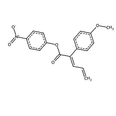 C=C/C=C(/C(=O)Oc1ccc([N+](=O)[O-])cc1)c1ccc(OC)cc1